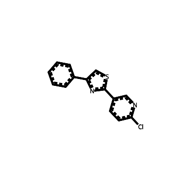 Clc1ccc(-c2nc(-c3ccccc3)cs2)cn1